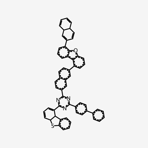 C1=CC2C=CC(c3cccc4c3oc3cccc(-c5ccc6ccc(-c7nc(C8=CC=CC9Sc%10ccccc%10C89)nc(-c8ccc(-c9ccccc9)cc8)n7)cc6c5)c34)=CC2C=C1